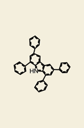 c1ccc(-c2cc(-c3ccccc3)c3[nH]c4c(-c5ccccc5)cc(-c5ccccc5)cc4c3c2)cc1